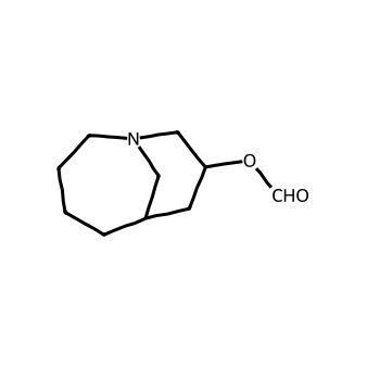 O=COC1CC2CCCCN(C2)C1